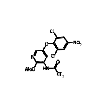 COc1ncc(Oc2c(Cl)cc([N+](=O)[O-])cc2Cl)cc1NC(=O)C(F)(F)F